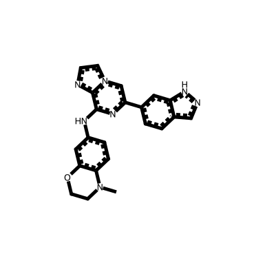 CN1CCOc2cc(Nc3nc(-c4ccc5cn[nH]c5c4)cn4ccnc34)ccc21